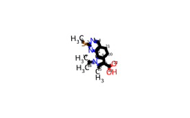 CSc1ncc2c(n1)-c1c(c(C(=O)O)c(C)n1C(C)C)CC2